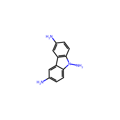 Nc1ccc2c(c1)c1cc(N)ccc1n2N